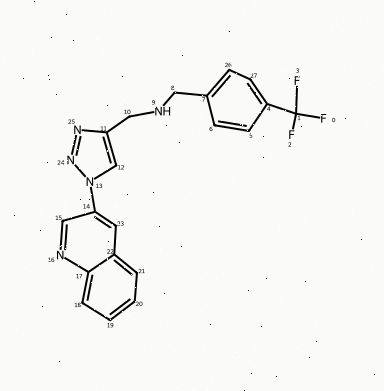 FC(F)(F)c1ccc(CNCc2cn(-c3cnc4ccccc4c3)nn2)cc1